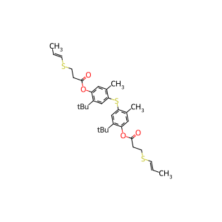 CC=CSCCC(=O)Oc1cc(C)c(Sc2cc(C(C)(C)C)c(OC(=O)CCSC=CC)cc2C)cc1C(C)(C)C